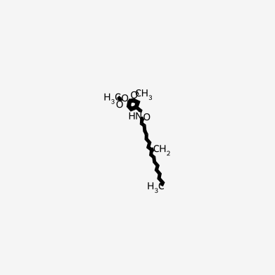 C=C(CCCCCCCCC)CCCCCCCC(=O)NCc1ccc(OC(C)=O)c(OC)c1